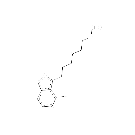 O=COCCCCCCc1occ2cccc(F)c12